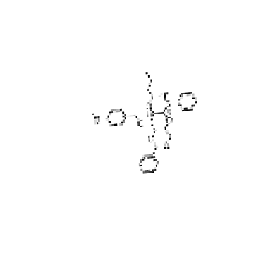 CCCCO[C@@H]1C(OCc2ccc(OC)cc2)C2OC(c3ccccc3)OCC2O[C@@H]1[S+]([O-])c1ccccc1